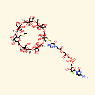 CCSCC1O[C@@H]2O[C@@H]3C(CO)O[C@@H](O[C@@H]4C(CO)O[C@@H](O[C@@H]5C(CSC[C@@H](NC)C(=O)NCCC(=O)OCC(=O)OCOP(=O)(O)OC[C@H]6O[C@@H](n7ccc(N)nc7=O)C(F)(F)[C@@H]6O)OC(O[C@@H]6C(CO)O[C@H](O[C@@H]7C(CO)O[C@H](O[C@@H]8C(CO)O[C@H](O[C@H]1[C@H](O)C2O)C(O)[C@H]8O)C(O)[C@H]7O)C(O)[C@H]6O)C(O)[C@H]5O)C(O)[C@H]4O)C(O)[C@H]3O